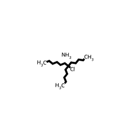 CCCCCCC(Cl)(CCCCC)CCCCC.N